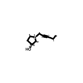 CCC#CCN1CC[C@H](O)C1